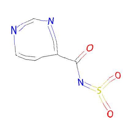 O=C(N=S(=O)=O)c1ccncn1